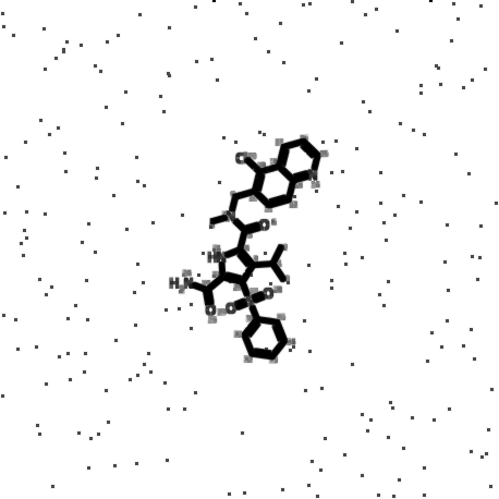 CC(C)c1c(C(=O)N(C)Cc2ccc3ncccc3c2Cl)[nH]c(C(N)=O)c1S(=O)(=O)c1ccccc1